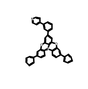 O=P12c3ccc(-c4ccccc4)cc3Oc3cc(-c4cccc(-c5ccncc5)c4)cc(c31)Oc1cc(-c3ccccc3)ccc12